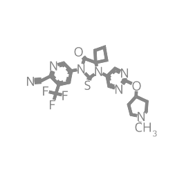 CN1CCC(Oc2ncc(N3C(=S)N(c4cnc(C#N)c(C(F)(F)F)c4)C(=O)C34CCC4)cn2)CC1